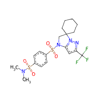 CN(C)S(=O)(=O)c1ccc(S(=O)(=O)N2CC3(CCCCC3)n3nc(C(F)(F)F)cc32)cc1